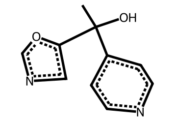 CC(O)(c1ccncc1)c1cnco1